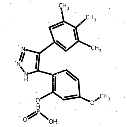 COc1ccc(-c2[nH]nnc2-c2cc(C)c(C)c(C)c2)c(O[PH](=O)O)c1